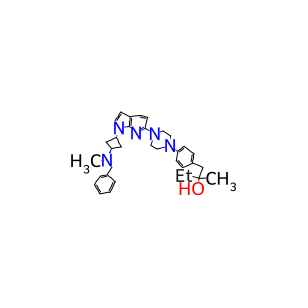 CCC(C)(O)Cc1ccc(N2CCN(c3ccc4ccn([C@H]5C[C@H](N(C)Cc6ccccc6)C5)c4n3)CC2)cc1